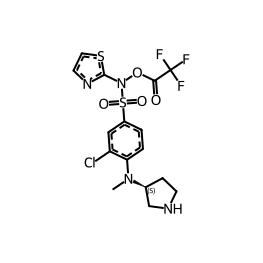 CN(c1ccc(S(=O)(=O)N(OC(=O)C(F)(F)F)c2nccs2)cc1Cl)[C@H]1CCNC1